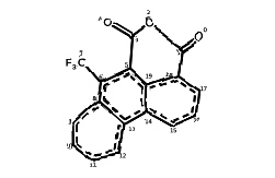 O=C1OC(=O)c2c(C(F)(F)F)c3ccccc3c3cccc1c23